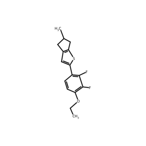 CCOc1ccc(-c2cc3c(s2)CC(C)C3)c(F)c1F